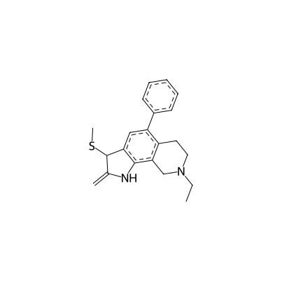 C=C1Nc2c(cc(-c3ccccc3)c3c2CN(CC)CC3)C1SC